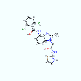 O=C(Cn1c(C(F)(F)F)nc2c(NC(=O)c3c(Cl)cccc3Cl)cccc21)Nc1nccs1